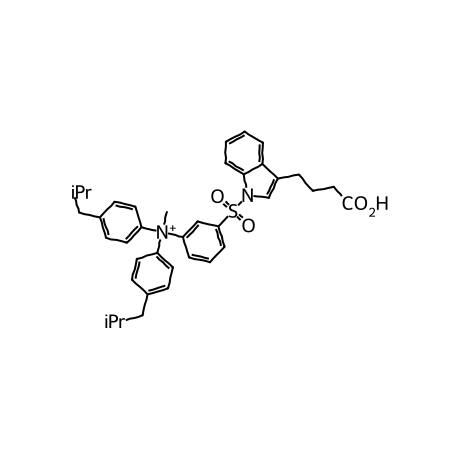 CC(C)Cc1ccc([N+](C)(c2ccc(CC(C)C)cc2)c2cccc(S(=O)(=O)n3cc(CCCC(=O)O)c4ccccc43)c2)cc1